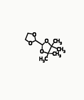 CC1(C)OC(C2OCCO2)OC1(C)C